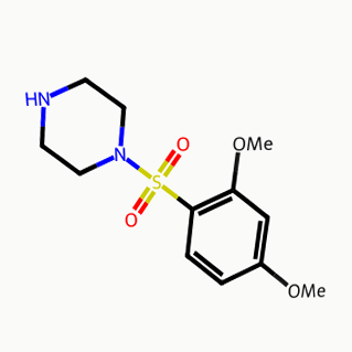 COc1ccc(S(=O)(=O)N2CCNCC2)c(OC)c1